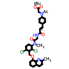 CC(=O)N(CC(=O)OC(C)(C)C)c1ccc(/C=C/C(=O)NCC(=O)N(C)c2ccc(Cl)c(COc3cccc4ccc(C)nc34)c2Cl)cc1